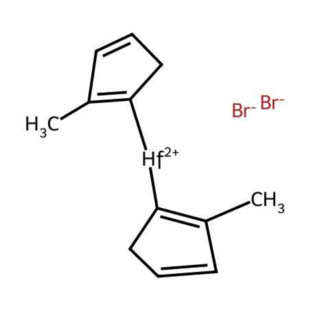 CC1=[C]([Hf+2][C]2=C(C)C=CC2)CC=C1.[Br-].[Br-]